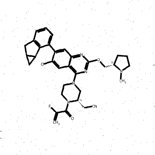 C=C(F)C(=O)N1CCN(c2nc(OC[C@@H]3CCCN3C)nc3cc(-c4cccc5c4C4CC4C5)c(Cl)cc23)C[C@@H]1CC#N